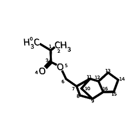 CC(C)C(=O)OCC1CC2CC1C1CCCC21